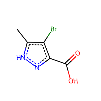 Cc1[nH]nc(C(=O)O)c1Br